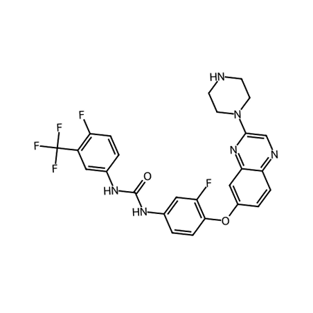 O=C(Nc1ccc(Oc2ccc3ncc(N4CCNCC4)nc3c2)c(F)c1)Nc1ccc(F)c(C(F)(F)F)c1